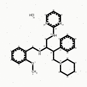 COc1ccccc1CNC(CNc1ncccn1)C(CN1CCCCC1)c1ccccc1.Cl